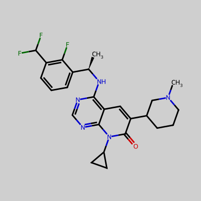 C[C@@H](Nc1ncnc2c1cc(C1CCCN(C)C1)c(=O)n2C1CC1)c1cccc(C(F)F)c1F